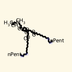 CCCCC/C=C\C/C=C\CCCCCCCCC(=O)OCCC1OC2(CCN(C(=O)CCCN(C)CCN(C)C)CC2)OC1CCOC(=O)CCCCCCCC/C=C\C/C=C\CCCCC